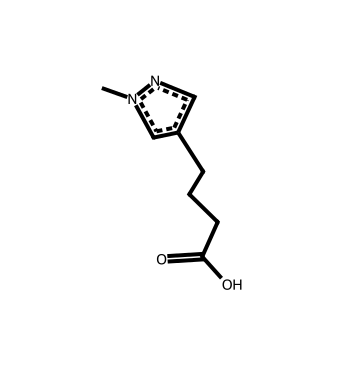 Cn1cc(CCCC(=O)O)cn1